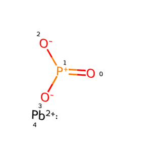 O=[P+]([O-])[O-].[Pb+2]